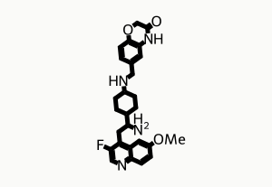 COc1ccc2ncc(F)c(CC(N)C3CCC(NCc4ccc5c(c4)NC(=O)CO5)CC3)c2c1